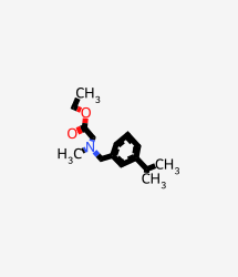 CCOC(=O)CN(C)Cc1cccc(C(C)C)c1